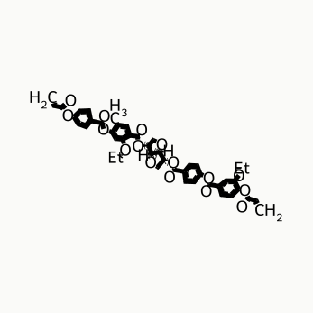 C=CC(=O)Oc1ccc(C(=O)Oc2cc(OCC)c(C(=O)O[C@H]3CO[C@H]4[C@@H]3OC[C@H]4OC(=O)c3ccc(OC(=O)c4ccc(OC(=O)C=C)c(OCC)c4)cc3)cc2C)cc1